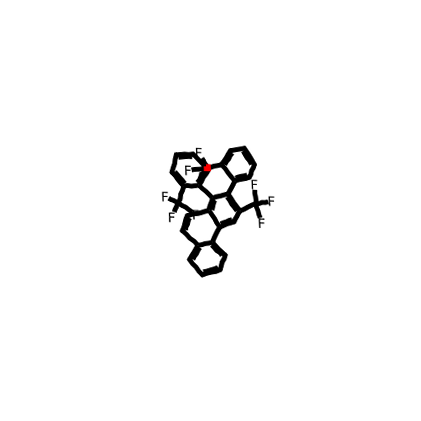 FC(F)(F)c1ccccc1-c1c(C(F)(F)F)cc2c(ccc3ccccc32)c1-c1ccccc1C(F)(F)F